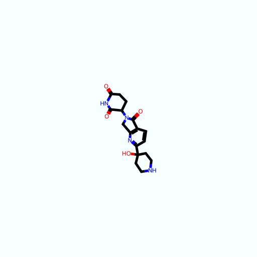 O=C1CCC(N2Cc3nc(C4(O)CCNCC4)ccc3C2=O)C(=O)N1